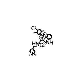 Cc1cc(CCNC(=O)C[C@@H]2C(=O)Nc3ccccc3N2S(=O)(=O)c2cc(C)c(Cl)cc2C)ccn1